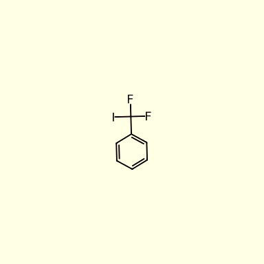 FC(F)(I)c1ccccc1